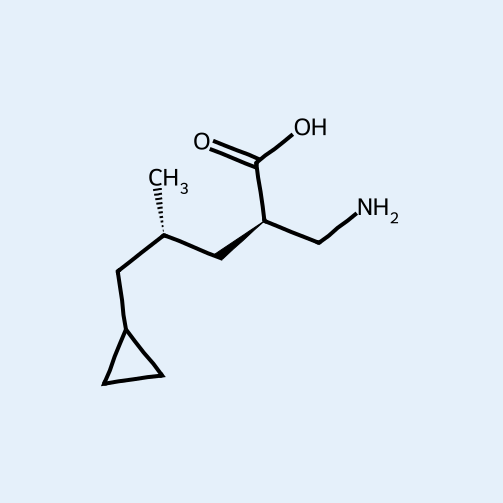 C[C@@H](CC1CC1)C[C@H](CN)C(=O)O